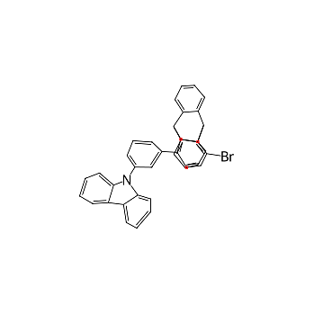 Brc1ccc(-c2cccc(-n3c4ccccc4c4ccccc43)c2)c2c1C1c3ccccc3C2c2ccccc21